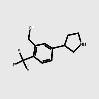 CCc1cc(C2CCNC2)ccc1C(F)(F)F